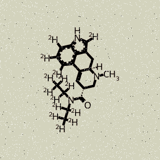 [2H]c1[nH]c2c([2H])c([2H])c([2H])c3c2c1C[C@@H]1C3=C[C@@H](C(=O)N(C([2H])([2H])C([2H])([2H])[2H])C([2H])([2H])C([2H])([2H])[2H])CN1C